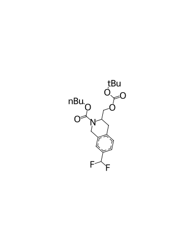 CCCCOC(=O)N1Cc2cc(C(F)F)ccc2CC1COC(=O)OC(C)(C)C